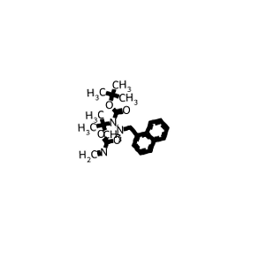 C=NC(=O)ON(Cc1cccc2ccccc12)N(C(=O)OC(C)(C)C)C(C)(C)C